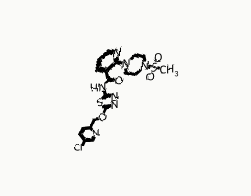 CS(=O)(=O)N1CCN(c2ncccc2C(=O)Nc2nnc(OCc3ccc(Cl)cn3)s2)CC1